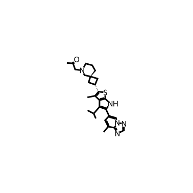 CC(=O)CN1CCC[C@]2(C1)C[C@@H](c1sc3[nH]c(-c4cc(C)c5ncnn5c4)c(C(C)C)c3c1C)C2